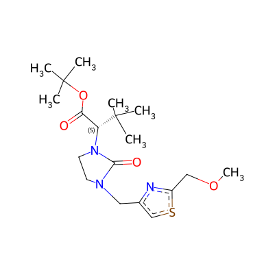 COCc1nc(CN2CCN([C@H](C(=O)OC(C)(C)C)C(C)(C)C)C2=O)cs1